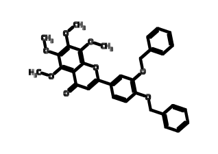 COc1c(OC)c(OC)c2c(=O)cc(-c3ccc(OCc4ccccc4)c(OCc4ccccc4)c3)oc2c1OC